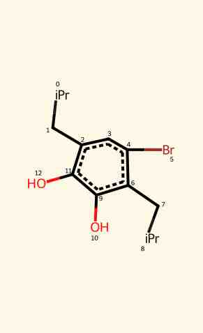 CC(C)Cc1cc(Br)c(CC(C)C)c(O)c1O